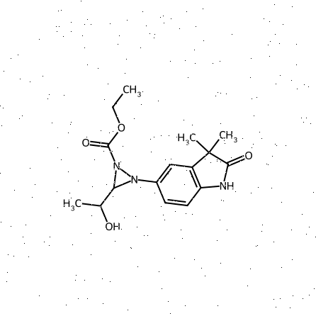 CCOC(=O)N1C(C(C)O)N1c1ccc2c(c1)C(C)(C)C(=O)N2